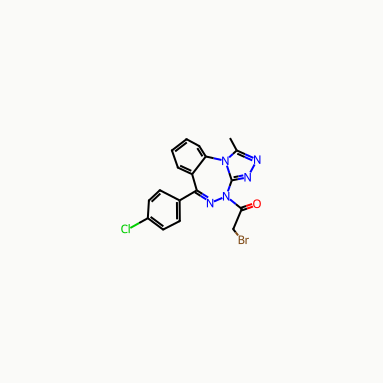 Cc1nnc2n1-c1ccccc1C(c1ccc(Cl)cc1)=NN2C(=O)CBr